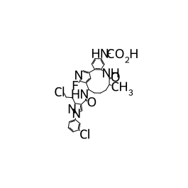 CC1CCC[C@H](NC(=O)c2cn(-c3cccc(Cl)c3)nc2CCCl)c2cc(cnc2F)-c2ccc(NC(=O)O)cc2NC1=O